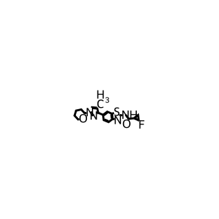 Cc1cn(C2CCCCO2)nc1-c1ccc2nc(NC(=O)C3CC3F)sc2c1